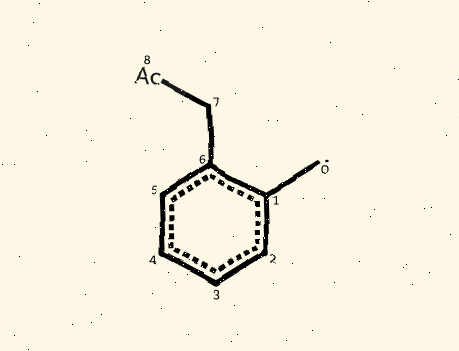 [CH2]c1ccccc1CC(C)=O